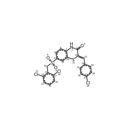 O=C1Nc2ccc(S(=O)(=O)Cc3c(Cl)cccc3Cl)cc2SC1=Cc1ccc(Cl)cc1